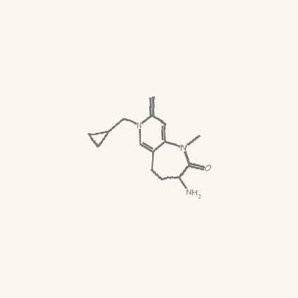 C=C1C=C2C(=CN1CC1CC1)CCC(N)C(=O)N2C